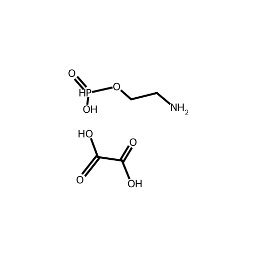 NCCO[PH](=O)O.O=C(O)C(=O)O